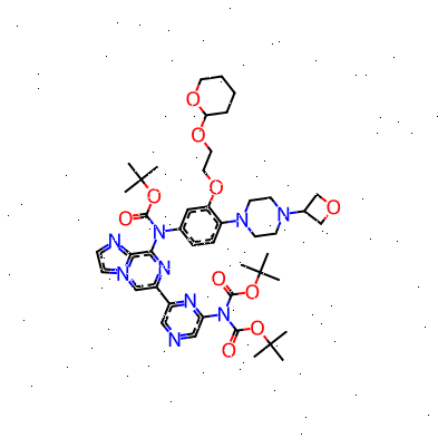 CC(C)(C)OC(=O)N(C(=O)OC(C)(C)C)c1cncc(-c2cn3ccnc3c(N(C(=O)OC(C)(C)C)c3ccc(N4CCN(C5COC5)CC4)c(OCCOC4CCCCO4)c3)n2)n1